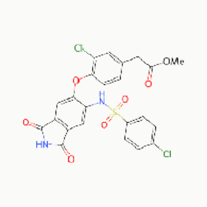 COC(=O)Cc1ccc(Oc2cc3c(cc2NS(=O)(=O)c2ccc(Cl)cc2)C(=O)NC3=O)c(Cl)c1